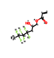 C=CC(=O)OCC(O)CC(F)(F)C(F)(F)C(F)(F)C(F)(F)F